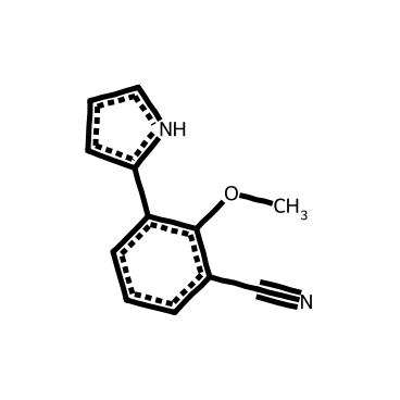 COc1c(C#N)cccc1-c1ccc[nH]1